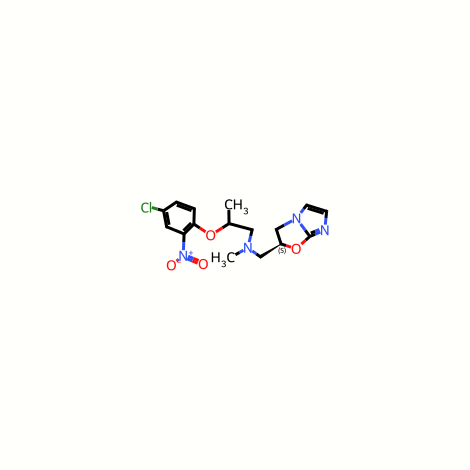 CC(CN(C)C[C@H]1Cn2ccnc2O1)Oc1ccc(Cl)cc1[N+](=O)[O-]